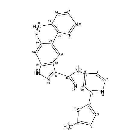 Cc1ccc(-c2nccc3[nH]c(-c4n[nH]c5cc(F)c(-c6cnccc6C)cc45)nc23)s1